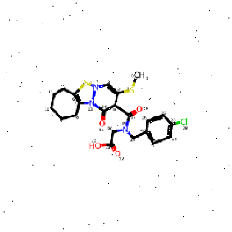 CSC1=CN2SC3=C(CCCCC3)N2C(=O)C1C(=O)N(CC(=O)O)Cc1ccc(Cl)cc1